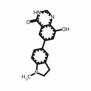 CN1CCc2cc(-c3cc(O)c4nc[nH]c(=O)c4c3)ccc21